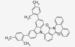 Cc1ccc(-c2ccc3c(c2)c2cc(-c4ccc(C)cc4C)ccc2n3-c2cccc3c2C(=O)N(c2ccccc2-c2ccccc2)C3=O)c(C)c1